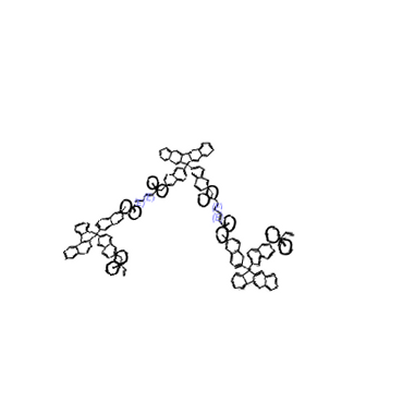 C=CC(=O)Oc1ccc2cc(C3(c4ccc5cc(OC(=O)/C=C/C=C/C(=O)Oc6ccc7cc(C8(c9ccc%10cc(OC(=O)/C=C/C=C/C(=O)Oc%11ccc%12cc(C%13(c%14ccc%15cc(OC(=O)C=C)ccc%15c%14)c%14ccccc%14-c%14c%13ccc%13ccccc%14%13)ccc%12c%11)ccc%10c9)c9cc%10ccccc%10cc9-c9cc%10ccccc%10cc98)ccc7c6)ccc5c4)c4ccccc4-c4cc5ccccc5cc43)ccc2c1